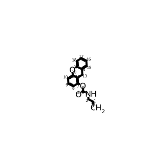 C=CCNC(=O)Oc1cccc2c1Cc1ccccc1O2